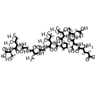 CC[C@H](C)[C@H](NC(=O)CNC(=O)[C@H](C)NC(=O)CNC(=O)[C@@H](NC(=O)[C@@H]1CCCN1C(=O)[C@@H](NC(=O)[C@H](CC(=O)O)NC(=O)[C@H](CS)NC(=O)[C@@H](N)CCC(=O)O)[C@@H](C)CC)[C@@H](C)CC)C(=O)N[C@@H](CS)C(=O)O